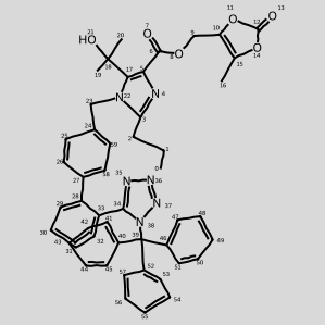 CCCc1nc(C(=O)OCc2oc(=O)oc2C)c(C(C)(C)O)n1Cc1ccc(-c2ccccc2-c2nnnn2C(c2ccccc2)(c2ccccc2)c2ccccc2)cc1